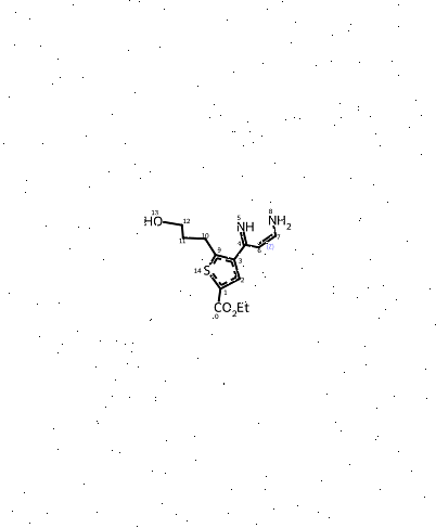 CCOC(=O)c1cc(C(=N)/C=C\N)c(CCCO)s1